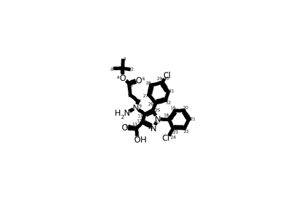 CC(C)(C)OC(=O)CCN(N)c1c(C(=O)O)nn(-c2ccccc2Cl)c1-c1ccc(Cl)cc1